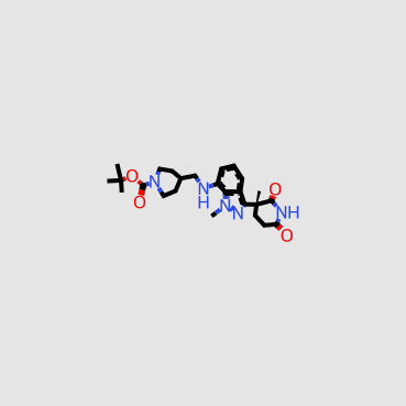 Cn1nc([C@@]2(C)CCC(=O)NC2=O)c2cccc(NCC3CCN(C(=O)OC(C)(C)C)CC3)c21